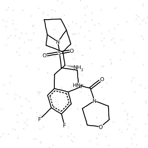 N[C@H](Cc1cc(F)c(F)cc1F)C1CC2CCC(C1)N2S(=O)(=O)CCNC(=O)N1CCOCC1